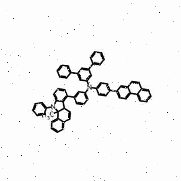 CC12c3ccccc3C=CC1c1c(-c3cccc(N(c4ccc(-c5ccc6c(ccc7ccccc76)c5)cc4)c4cc(-c5ccccc5)cc(-c5ccccc5)c4)c3)cccc1N2c1ccccc1